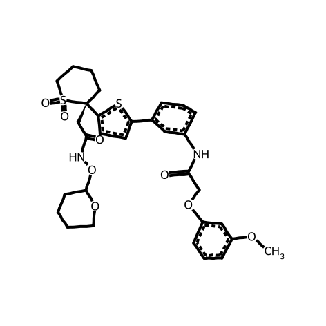 COc1cccc(OCC(=O)Nc2cccc(-c3ccc([C@@]4(CC(=O)NOC5CCCCO5)CCCCS4(=O)=O)s3)c2)c1